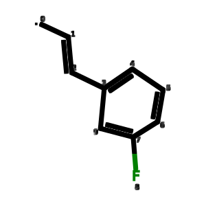 [CH2]C=Cc1cccc(F)c1